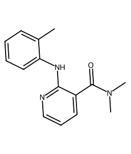 Cc1ccccc1Nc1ncccc1C(=O)N(C)C